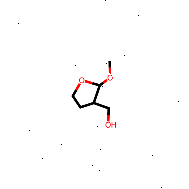 COC1OCCC1CO